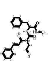 CNC(=O)C(Cc1ccccc1)NC(=O)N(C[C]=O)C(=O)C=Cc1ccccc1